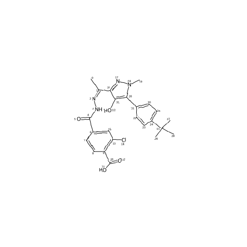 CC(=NNC(=O)c1ccc(C(=O)O)c(Cl)c1)c1nn(C)c(-c2ccc(C(C)(C)C)cc2)c1O